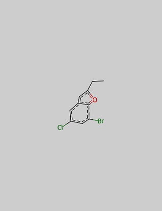 CCc1cc2cc(Cl)cc(Br)c2o1